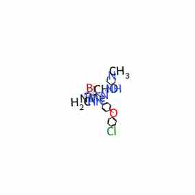 C=NC(/C(Br)=C\NC)=C(C=O)\C(=N/CNC1CCN(C)CC1)Nc1ccc(Oc2ccc(Cl)cc2)cc1